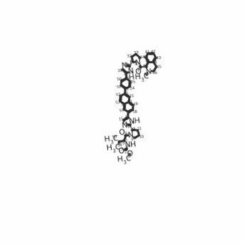 COC(=O)N[C@H](C(=O)N1CCC[C@H]1c1ncc(-c2ccc3cc(-c4ccc(-c5cnc([C@@H]6CCCN6C(=O)[C@H]6c7ccccc7CCN6C)[nH]5)cc4)ccc3c2)[nH]1)C(C)C